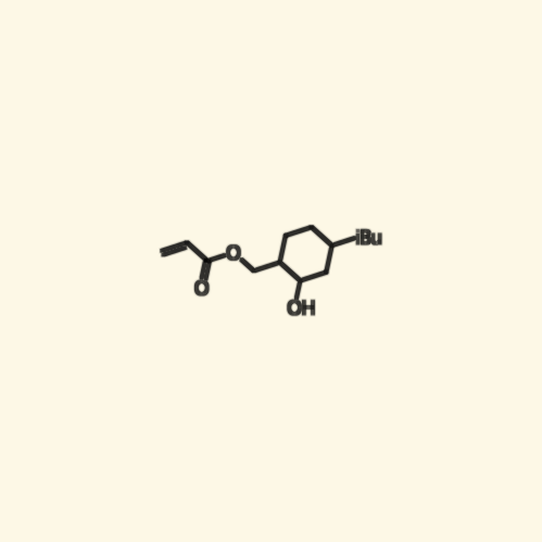 C=CC(=O)OCC1CCC(C(C)CC)CC1O